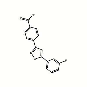 O=[N+]([O-])c1ccc(-c2cc(-c3cccc(F)c3)on2)cc1